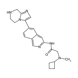 CN(CC(=O)Nc1cc2cc(-c3cnc4n3CCNC4)ccc2cn1)C1CCC1